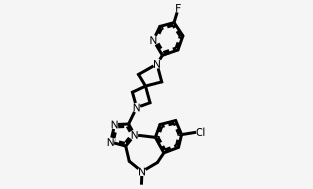 CN1Cc2cc(Cl)ccc2-n2c(nnc2N2CC3(CN(c4ccc(F)cn4)C3)C2)C1